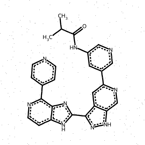 CC(C)C(=O)Nc1cncc(-c2cc3c(-c4nc5c(-c6ccncc6)nccc5[nH]4)n[nH]c3cn2)c1